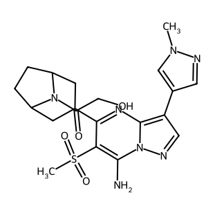 Cn1cc(-c2cnn3c(N)c(S(C)(=O)=O)c(C4CC5CCC(C4)N5C(=O)CO)nc23)cn1